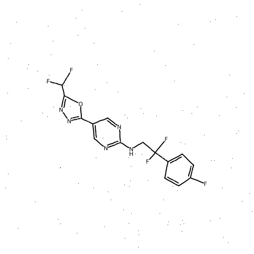 Fc1ccc(C(F)(F)CNc2ncc(-c3nnc(C(F)F)o3)cn2)cc1